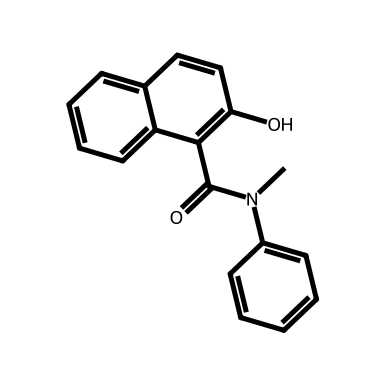 CN(C(=O)c1c(O)ccc2ccccc12)c1ccccc1